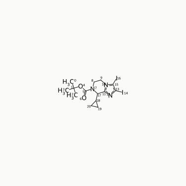 CC(C)(C)OC(=O)N1CCn2c(nc(I)c2I)C1C1CC1